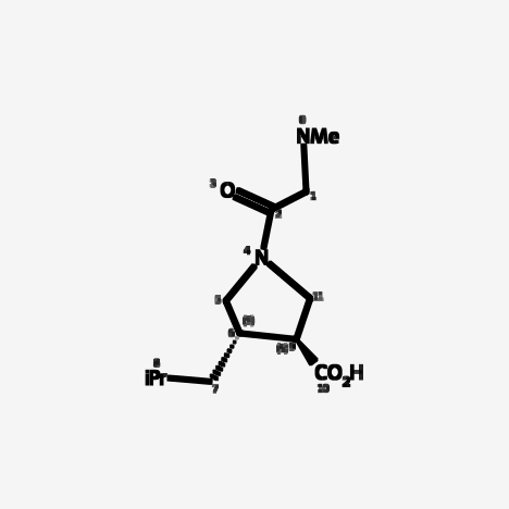 CNCC(=O)N1C[C@@H](CC(C)C)[C@H](C(=O)O)C1